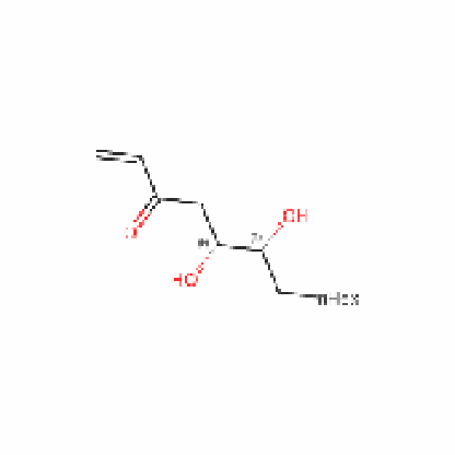 C=CC(=O)C[C@@H](O)[C@H](O)CCCCCCC